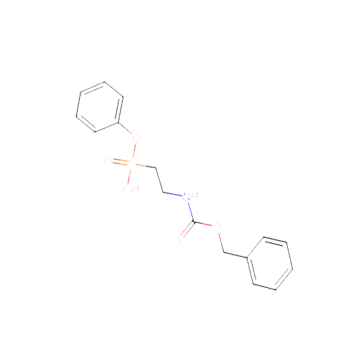 O=C(NCCP(=O)(O)Oc1ccccc1)OCc1ccccc1